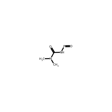 CN(C)C(=O)NP=O